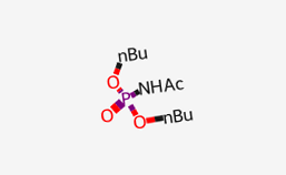 CCCCOP(=O)(NC(C)=O)OCCCC